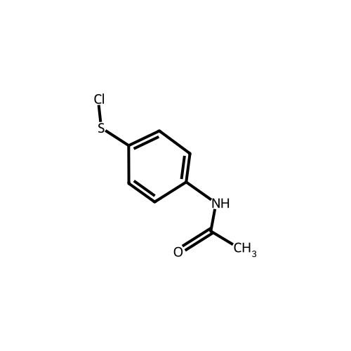 CC(=O)Nc1ccc(SCl)cc1